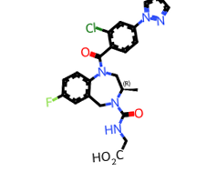 C[C@@H]1CN(C(=O)c2ccc(-n3cccn3)cc2Cl)c2ccc(F)cc2CN1C(=O)NCC(=O)O